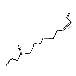 C=C/C=C\CCCCCCC(=O)CCC